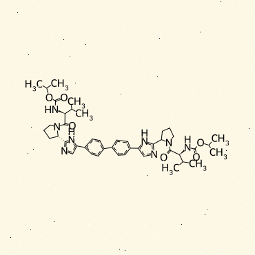 CC(C)OC(=O)N[C@H](C(=O)N1CCCC1c1ncc(-c2ccc(-c3ccc(-c4cnc([C@@H]5CCCN5C(=O)[C@@H](NC(=O)OC(C)C)C(C)C)[nH]4)cc3)cc2)[nH]1)C(C)C